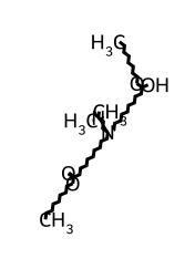 CCCCCCCCOC(=O)CCCCCCCCCN(CCCCCCCCCC(O)OCCCCCCCC)CCN(C)C